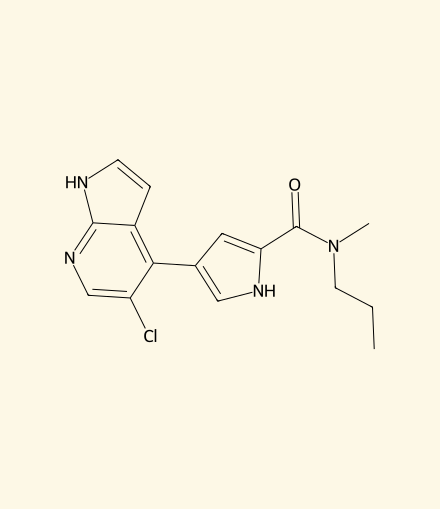 CCCN(C)C(=O)c1cc(-c2c(Cl)cnc3[nH]ccc23)c[nH]1